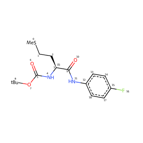 CSCC[C@H](NC(=O)OC(C)(C)C)C(=O)Nc1ccc(F)cc1